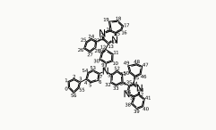 c1ccc(-c2ccc(N(c3ccc(-c4nc5ccccc5nc4-c4ccccc4)cc3)c3ccc(-c4nc5ccccc5nc4-c4ccccc4)cc3)cc2)cc1